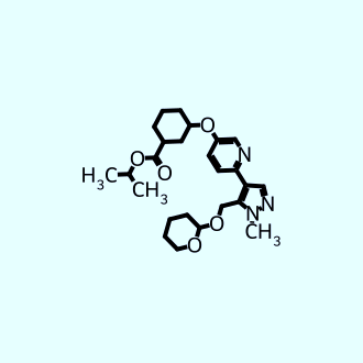 CC(C)OC(=O)C1CCCC(Oc2ccc(-c3cnn(C)c3COC3CCCCO3)nc2)C1